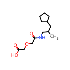 CC(CNC(=O)COCC(=O)O)CC1CCCC1